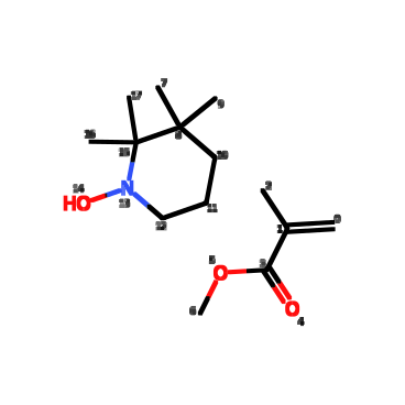 C=C(C)C(=O)OC.CC1(C)CCCN(O)C1(C)C